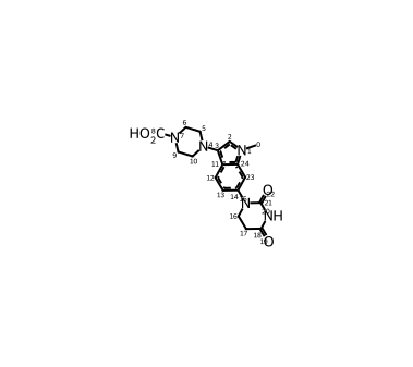 Cn1cc(N2CCN(C(=O)O)CC2)c2ccc(N3CCC(=O)NC3=O)cc21